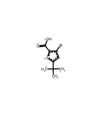 CC(C)(C)c1cc(Br)c(C(=O)O)s1